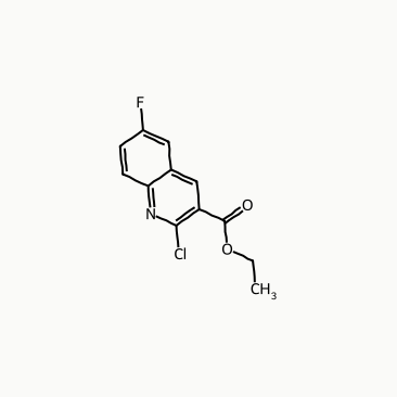 CCOC(=O)c1cc2cc(F)ccc2nc1Cl